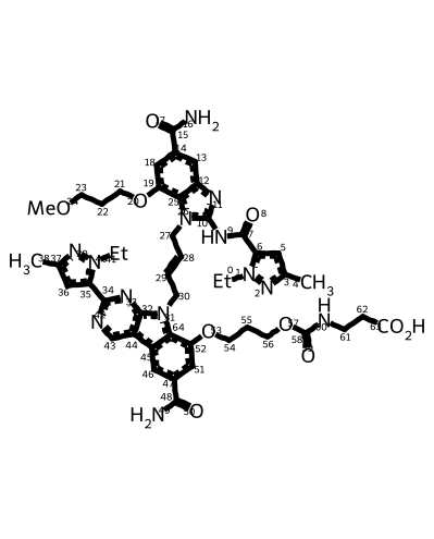 CCn1nc(C)cc1C(=O)Nc1nc2cc(C(N)=O)cc(OCCCOC)c2n1CC=CCn1c2nc(-c3cc(C)nn3CC)ncc2c2cc(C(N)=O)cc(OCCCOC(=O)NCCC(=O)O)c21